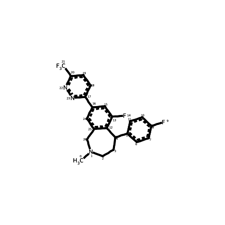 CN1CCC(c2ccc(F)cc2)c2c(F)cc(-c3ccc(C(F)(F)F)nn3)cc2C1